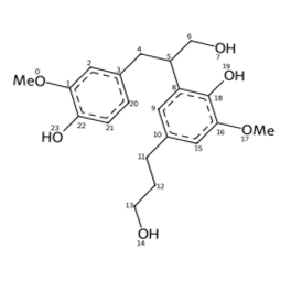 COc1cc(CC(CO)c2cc(CCCO)cc(OC)c2O)ccc1O